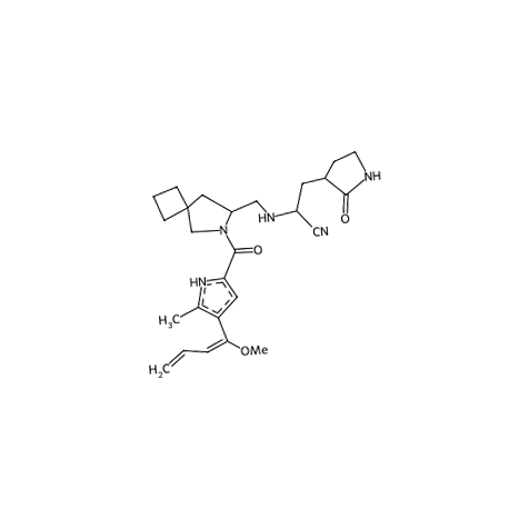 C=C/C=C(/OC)c1cc(C(=O)N2CC3(CCC3)CC2CNC(C#N)CC2CCNC2=O)[nH]c1C